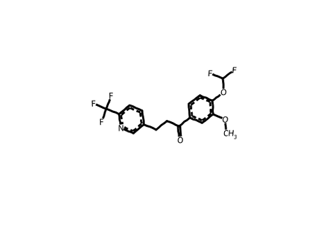 COc1cc(C(=O)CCc2ccc(C(F)(F)F)nc2)ccc1OC(F)F